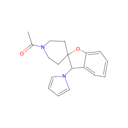 CC(=O)N1CCC2(CC1)Oc1ccccc1C2n1cccc1